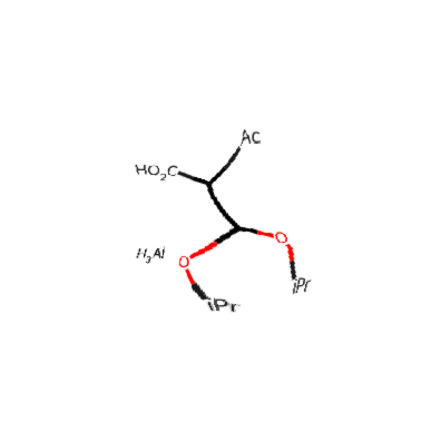 CC(=O)C(C(=O)O)C(OC(C)C)OC(C)C.[AlH3]